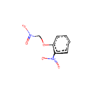 O=[N+]([O-])COc1ccccc1[N+](=O)[O-]